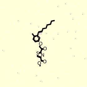 CCCCCC/C=C/c1cc(OCC(=O)c2nc(C(=O)OC)cs2)ccc1C